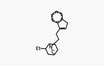 CCC1CC2CCC1N(CCC1=CCc3ccccc31)C2